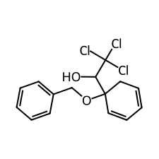 OC(C(Cl)(Cl)Cl)C1(OCc2ccccc2)C=CC=CC1